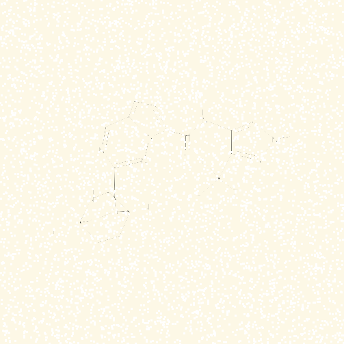 Cn1cc(NC(=O)c2ccc3cnc(N4C[C@H]5CC[C@@H]4CN5)nn23)c(C(F)(F)F)n1